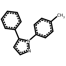 Cc1ccc(-n2nccc2-c2ccccc2)cc1